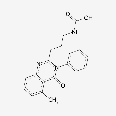 Cc1cccc2nc(CCCNC(=O)O)n(-c3ccccc3)c(=O)c12